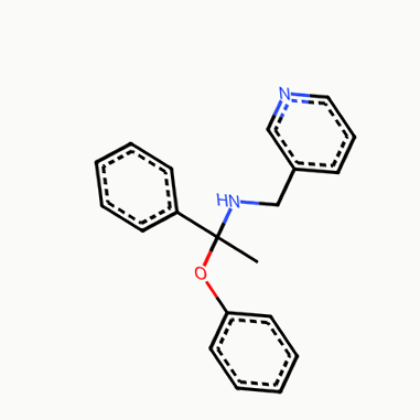 CC(NCc1cccnc1)(Oc1ccccc1)c1ccccc1